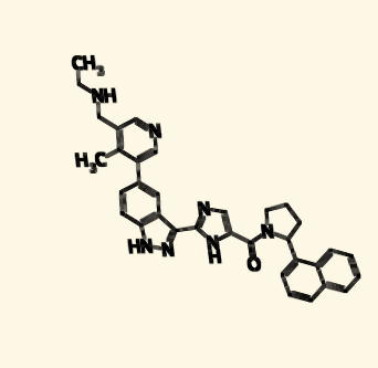 CCNCc1cncc(-c2ccc3[nH]nc(-c4ncc(C(=O)N5CCCC5c5cccc6ccccc56)[nH]4)c3c2)c1C